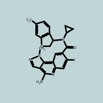 Cn1ncc2c(N)nc3cc(F)c(C(=O)N(C4CC4)C4COc5cc(C(F)(F)F)ccc54)cc3c21